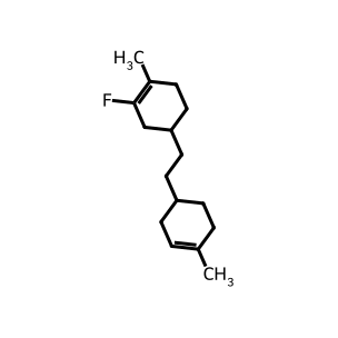 CC1=CCC(CCC2CCC(C)=C(F)C2)CC1